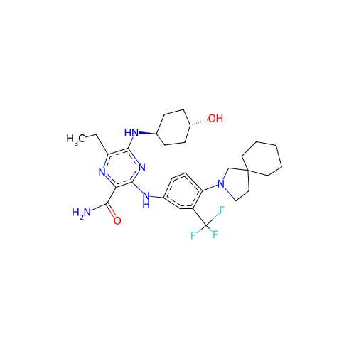 CCc1nc(C(N)=O)c(Nc2ccc(N3CCC4(CCCCC4)C3)c(C(F)(F)F)c2)nc1N[C@H]1CC[C@H](O)CC1